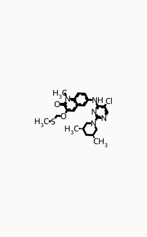 CSCOc1cc2cc(Nc3nc(N4C[C@H](C)C[C@H](C)C4)ncc3Cl)ccc2n(C)c1=O